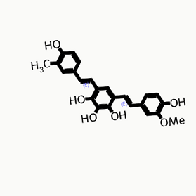 COc1cc(/C=C/c2cc(/C=C/c3ccc(O)c(C)c3)c(O)c(O)c2O)ccc1O